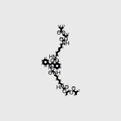 C=C(C)C(=O)OCC(C)OC(=O)NCCCCCCNC(=O)O/N=C(/c1ccccc1)C(OC(=O)NCCCCCCNC(=O)OC(C)COC(=O)C(=C)C)c1ccccc1